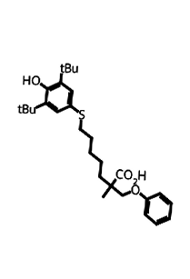 CC(CCCCCSc1cc(C(C)(C)C)c(O)c(C(C)(C)C)c1)(COc1ccccc1)C(=O)O